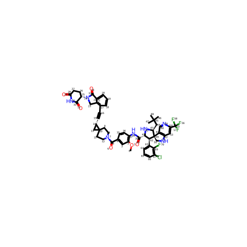 COc1cc(C(=O)N2CCC3(CC2)C[C@@H]3C#Cc2cccc3c2CN([C@H]2CCC(=O)NC2=O)C3=O)ccc1NC(=O)[C@@H]1N[C@@H](CC(C)(C)C)[C@@]2(CNc3cc(C(F)(F)F)ncc32)[C@H]1c1cccc(Cl)c1F